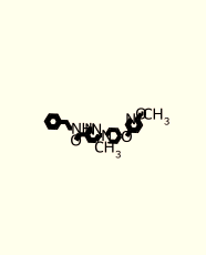 COc1ccc(OC2CCN(c3nnc(C(=O)NCCc4ccccc4)cc3C)CC2)cn1